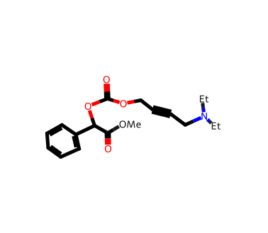 CCN(CC)CC#CCOC(=O)OC(C(=O)OC)c1ccccc1